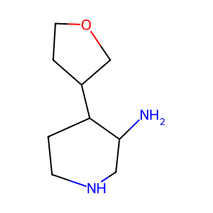 NC1CNCCC1C1CCOC1